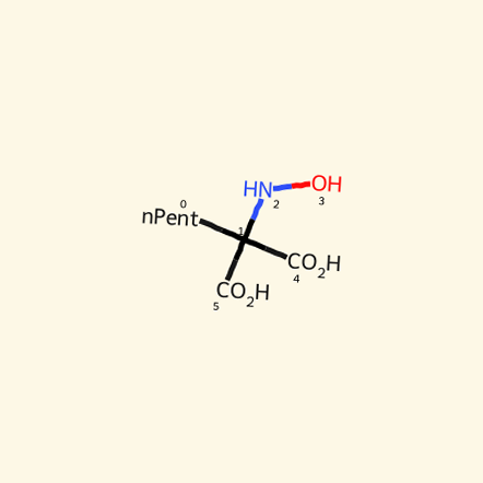 CCCCCC(NO)(C(=O)O)C(=O)O